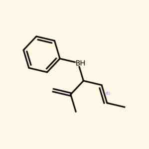 C=C(C)C(Bc1ccccc1)/C=C/C